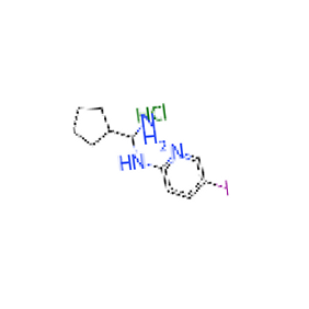 Cl.NC(Nc1ccc(I)cn1)C1CCCC1